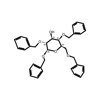 O[C@H]1[C@@H](OCc2ccccc2)[C@@H](COCc2ccccc2)O[C@@H](OCc2ccccc2)[C@@H]1OCc1ccccc1